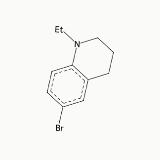 CCN1CCCc2cc(Br)ccc21